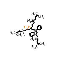 CC(C)=CC[SiH2]CCCC(P)(CCC[SiH2]CC=C(C)C)CC[Si](CCC[SiH2]CC=C(C)C)(c1ccccc1)c1ccccc1